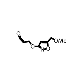 COCc1cc(OCC=C=O)no1